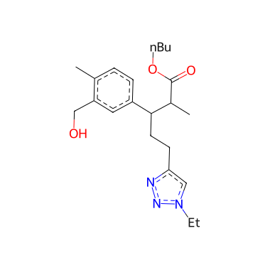 CCCCOC(=O)C(C)C(CCc1cn(CC)nn1)c1ccc(C)c(CO)c1